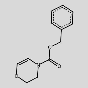 O=C(OCc1ccccc1)N1C=COCC1